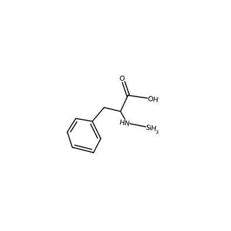 O=C(O)C(Cc1ccccc1)N[SiH3]